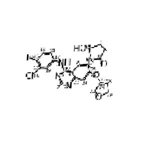 O=C1CCC(O)N1c1cc2c(Nc3ccc(F)c(Cl)c3)ncnc2cc1O[C@H]1CCOC1